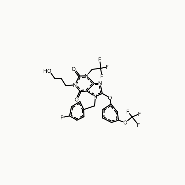 O=c1c2c(nc(Oc3cccc(OC(F)(F)F)c3)n2Cc2ccc(F)cc2)n(CC(F)(F)F)c(=O)n1CCCO